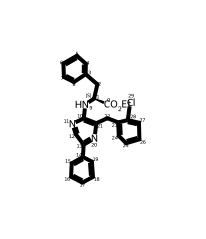 CCOC(=O)[C@H](Cc1ccccc1)Nc1ncc(-c2ccccc2)nc1Cc1ccccc1Cl